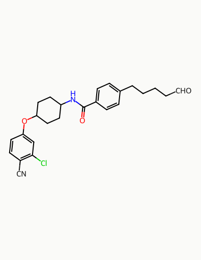 N#Cc1ccc(OC2CCC(NC(=O)c3ccc(CCCCC=O)cc3)CC2)cc1Cl